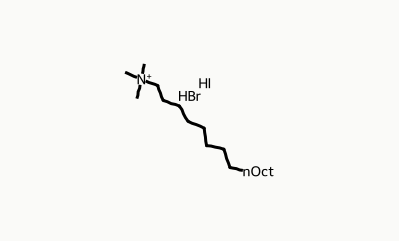 Br.CCCCCCCCCCCCCCCC[N+](C)(C)C.I